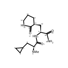 CN[C@@H](CC1CC1)C(=O)N[C@@H](C[C@@H]1CCCNC1=O)C(N)=O